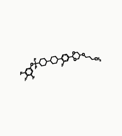 CCCCOC1COC(c2ccc(C3CCC(C4CCC(C(F)(F)Oc5cc(F)c(F)c(F)c5)CC4)CC3)c(F)c2)OC1